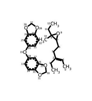 CC=C(CC)CCC1OC1(C)CC.c1cc2c(cc1Oc1ccc3c(c1)OCO3)OCO2